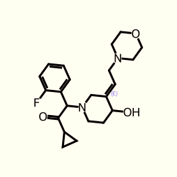 O=C(C1CC1)C(c1ccccc1F)N1CCC(O)/C(=C/CN2CCOCC2)C1